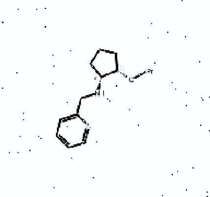 CC(C)O[C@H]1CCC[C@@H]1NCc1ccccn1